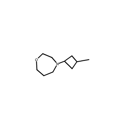 CC1CC(N2CCCOCC2)C1